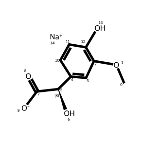 COc1cc([C@@H](O)C(=O)[O-])ccc1O.[Na+]